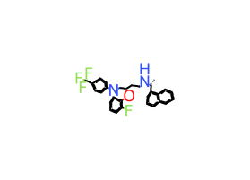 C[C@@H](NCCC1CN(c2ccc(C(F)(F)F)cc2)c2cccc(F)c2O1)c1cccc2ccccc12